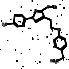 CCOc1nn(-c2ccc(C(F)(F)F)cn2)cc1CCOc1ccc(CC(=O)O)cc1